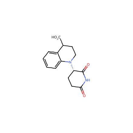 O=C1CC[C@H](N2CCC(C(=O)O)c3ccccc32)C(=O)N1